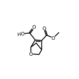 COC(=O)C1=C(C(=O)O)C2CC1CO2